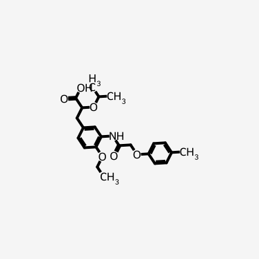 CCOc1ccc(CC(OC(C)C)C(=O)O)cc1NC(=O)COc1ccc(C)cc1